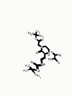 CC(C)(C)OC(=O)CN1CCNC(CCNC(=O)OC(C)(C)C)C1=O.O=C(O)C(=O)O